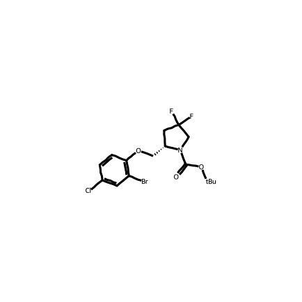 CC(C)(C)OC(=O)N1CC(F)(F)C[C@H]1COc1ccc(Cl)cc1Br